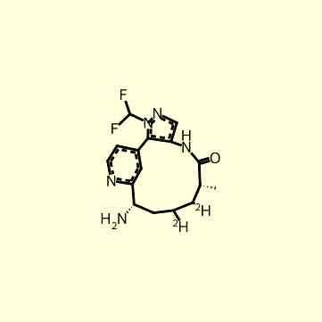 [2H]C1C[C@H](N)c2cc(ccn2)-c2c(cnn2C(F)F)NC(=O)[C@H](C)C1[2H]